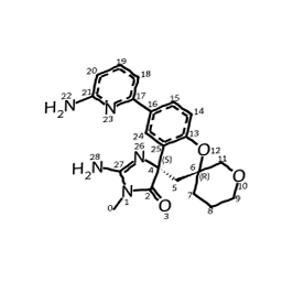 CN1C(=O)[C@@]2(C[C@@]3(CCCOC3)Oc3ccc(-c4cccc(N)n4)cc32)N=C1N